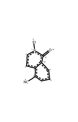 CCn1ccc2c(C#N)cccc2c1=O